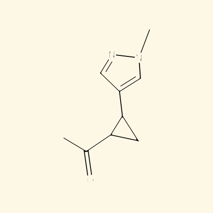 CC(=O)C1CC1c1cnn(C)c1